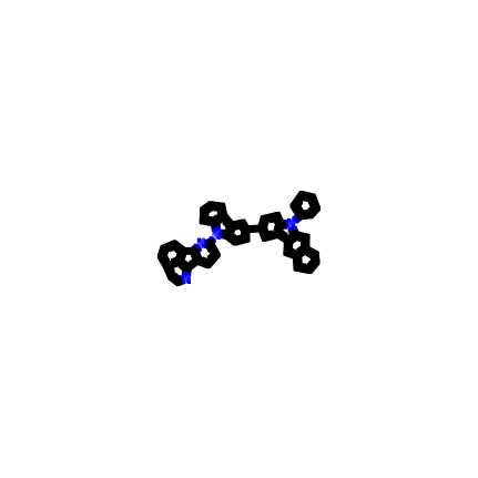 c1ccc(-n2c3ccc(-c4ccc5c(c4)c4ccccc4n5-c4ccc5c(n4)-c4cccc6ccnc-5c46)cc3c3cc4ccccc4cc32)cc1